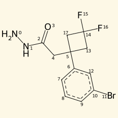 NNC(=O)CC1(c2cccc(Br)c2)CC(F)(F)C1